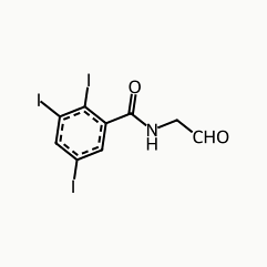 O=CCNC(=O)c1cc(I)cc(I)c1I